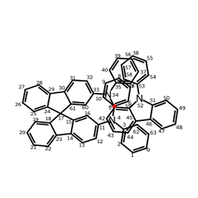 c1ccc(N(c2ccccc2)c2ccc3c(c2)C2(c4ccccc4-3)c3ccccc3-c3ccc(N(c4ccccc4)c4cccc5c6ccccc6n(-c6ccccc6)c45)cc32)cc1